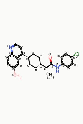 Bc1ccc2nccc([C@H]3CC[C@@H]([C@@H](C)C(=O)Nc4ccc(Cl)cc4)CC3)c2c1